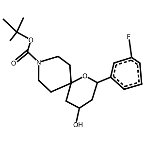 CC(C)(C)OC(=O)N1CCC2(CC1)CC(O)CC(c1cccc(F)c1)O2